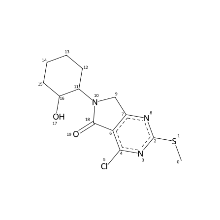 CSc1nc(Cl)c2c(n1)CN(C1CCCCC1O)C2=O